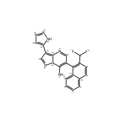 Nc1c(-c2c(C(F)F)ccc3ccccc23)cnc2c(-c3nnn[nH]3)cnn12